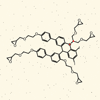 Ic1cc(I)c(OCCOCC2CO2)c(C(c2cc(-c3ccc(OCCOCC4CO4)cc3)ccc2OCCOCC2CO2)c2cc(-c3ccc(OCCOCC4CO4)cc3)ccc2OCCOCC2CO2)c1